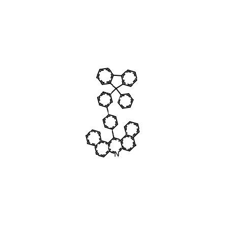 c1ccc(C2(c3cccc(-c4ccc(-c5c6c(ccc7ccccc76)nc6ccc7ccccc7c56)cc4)c3)c3ccccc3-c3ccccc32)cc1